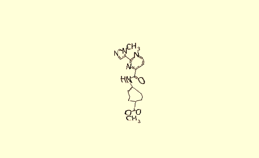 COC(=O)C1CCC(NC(=O)c2ccnc(-c3cncn3C)n2)CC1